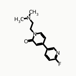 CN(C)CCn1ccc(-c2ccc(F)nc2)cc1=O